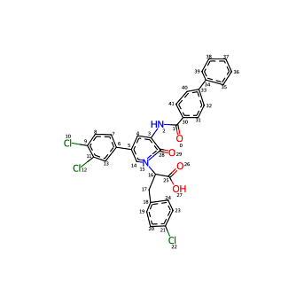 O=C(Nc1cc(-c2ccc(Cl)c(Cl)c2)cn(C(Cc2ccc(Cl)cc2)C(=O)O)c1=O)c1ccc(-c2ccccc2)cc1